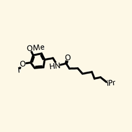 COc1cc(CNC(=O)CCCCCCC(C)C)ccc1OI